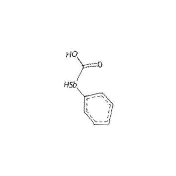 O=[C](O)[SbH][c]1ccccc1